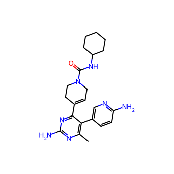 Cc1nc(N)nc(C2=CCN(C(=O)NC3CCCCC3)CC2)c1-c1ccc(N)nc1